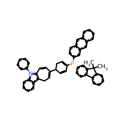 CC1(C)c2ccccc2-c2ccc([P@@](C3=CCC(C4=CCc5c(n(-c6ccccc6)c6ccccc56)C=C4)C=C3)c3ccc4cc5ccccc5cc4c3)cc21